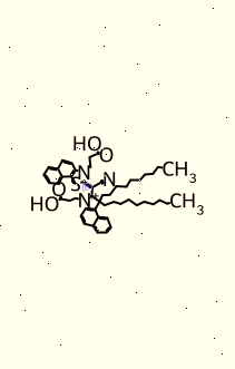 CCCCCCCCCCC1(CCCCCCCCCC)C(/C(C#N)=C2\Sc3c(ccc4ccccc34)N2CCC(=O)O)=[N+](CCC(=O)O)c2ccc3ccccc3c21